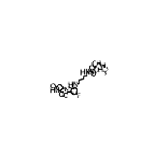 CC(C)(C)OC(=O)NCCCCCNc1cc(F)cc2c1CN(C1CCC(=O)NC1=O)C2=O